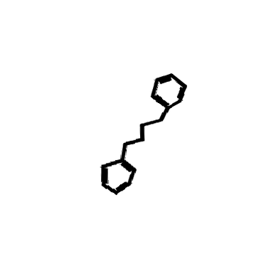 [c]1cc[c]c(CCCCc2[c]cc[c]c2)c1